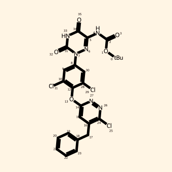 CC(C)(C)OC(=O)Nc1nn(-c2cc(Cl)c(Oc3cc(Cc4ccccc4)c(Cl)nn3)c(Cl)c2)c(=O)[nH]c1=O